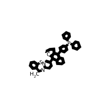 C=C1N=C2C=CC(c3c4ccccc4c(-c4ccc(P(c5ccccc5)c5ccccc5)cc4)c4ccccc34)=CN2Sc2ccccc21